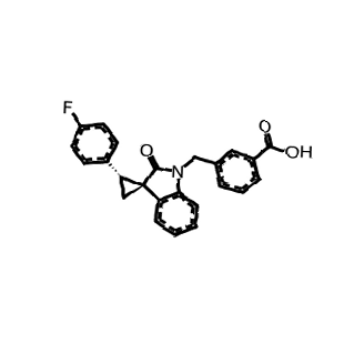 O=C(O)c1cccc(CN2C(=O)[C@]3(C[C@@H]3c3ccc(F)cc3)c3ccccc32)c1